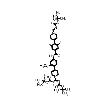 COc1cc(NC(=O)c2cc(F)c(C3=CCN(C=NC(=O)OC(C)(C)C)CC3)c(F)c2)ccc1C1=CCN(C(=NC(=O)OC(C)(C)C)NC(=O)OC(C)(C)C)CC1